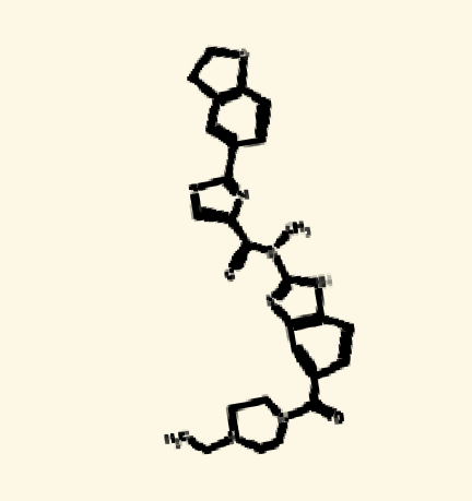 CCN1CCN(C(=O)c2ccc3[nH]c(N(C)C(=O)c4csc(-c5ccc6c(c5)CCO6)n4)nc3c2)CC1